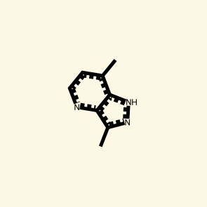 Cc1n[nH]c2c(C)ccnc12